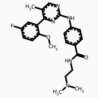 COc1ccc(F)cc1-c1nc(Nc2ccc(C(=O)NCCN(C)C)cc2)ncc1C